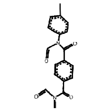 Cc1ccc(N(C=O)C(=O)c2ccc(C(=O)N(C)C=O)cc2)cc1